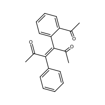 CC(=O)C(=C(C(C)=O)c1ccccc1C(C)=O)c1ccccc1